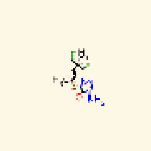 CC(C=CC(C)(CF)CF)Sc1nncn(N)c1=O